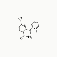 Cc1ccccc1Nc1nc(C2CC2)ccc1C(N)=O